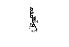 C[C@H](N)CCCc1cc(Cl)c(F)c(-c2cc3cn(-c4ccc(CNCc5cccnc5)cc4)c(=O)nc3[nH]2)c1